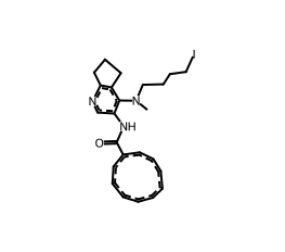 CN(CCCCI)c1c(NC(=O)c2ccccccccc2)cnc2c1CCC2